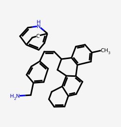 C1=CC2=CC=C(CC2)N1.Cc1ccc2c(c1)-c1ccc3c(c1CC2/C=C\c1ccc(CN)cc1)CCC=C3